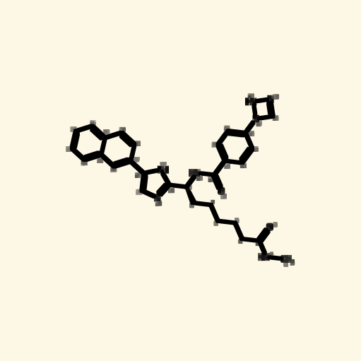 CNC(=O)CCCCC[C@H](NC(=O)c1ccc(-n2cn[nH]2)cc1)c1ncc(-c2ccc3ccccc3c2)[nH]1